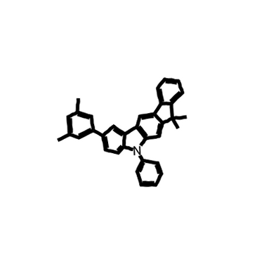 Cc1cc(C)cc(-c2ccc3c(c2)c2cc4c(cc2n3-c2ccccc2)C(C)(C)c2ccccc2-4)c1